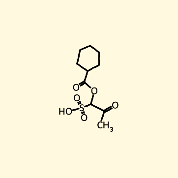 CC(=O)C(OC(=O)C1CCCCC1)S(=O)(=O)O